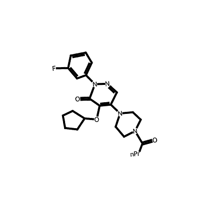 CCCC(=O)N1CCN(c2cnn(-c3cccc(F)c3)c(=O)c2OC2CCCC2)CC1